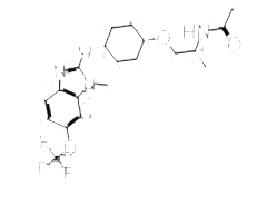 CC(=O)N[C@@H](C)CO[C@H]1CC[C@H](Oc2nc3ccc(OC(F)(F)F)cc3n2C)CC1